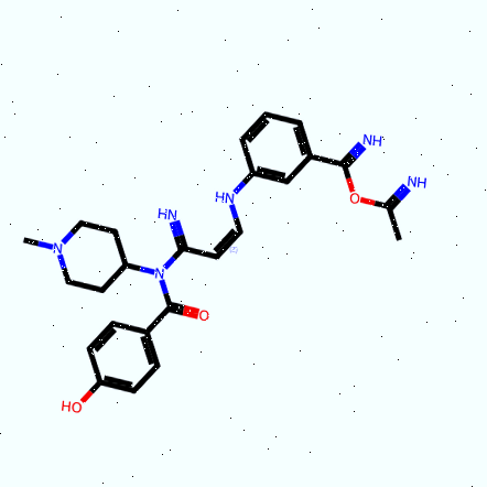 CC(=N)OC(=N)c1cccc(N/C=C\C(=N)N(C(=O)c2ccc(O)cc2)C2CCN(C)CC2)c1